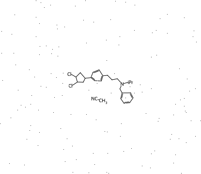 CC#N.CC(C)N(CCCc1ccc(C2CC(Cl)C(Cl)C2)cc1)Cc1ccccc1